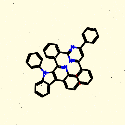 c1ccc(-c2cc(-c3ccccc3)nc(-c3ccccc3-c3nc4ccccc4c4c5ccccc5n(-c5ccccc5)c34)n2)cc1